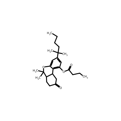 CCCCC(C)(C)c1cc(OC(=O)CCC)c2c(c1)OC(C)(C)C1CCC(=O)CC21